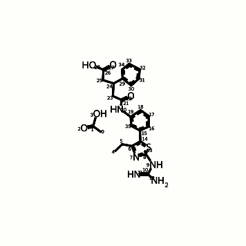 CC(=O)O.CCc1nc(NC(=N)N)sc1-c1cccc(NC(=O)CC(CC(=O)O)c2ccccc2)c1